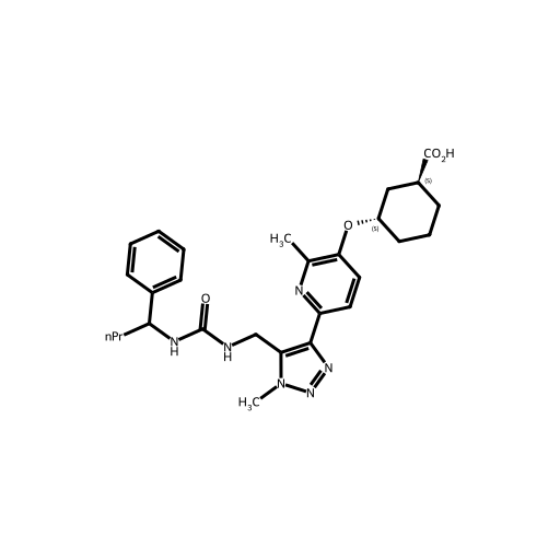 CCCC(NC(=O)NCc1c(-c2ccc(O[C@H]3CCC[C@H](C(=O)O)C3)c(C)n2)nnn1C)c1ccccc1